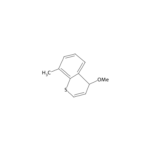 COC1C=CSc2c(C)cccc21